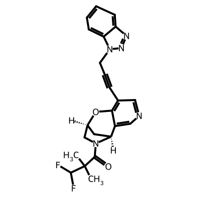 CC(C)(C(=O)N1C[C@@H]2C[C@H]1c1cncc(C#CCn3nnc4ccccc43)c1O2)C(F)F